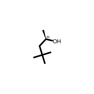 C[C@@H](O)CC(C)(C)C